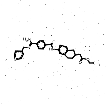 CCOC(=O)CC1CCc2cc(NC(=O)c3ccc(C(N)=NCc4ccncc4)cc3)ccc2C1